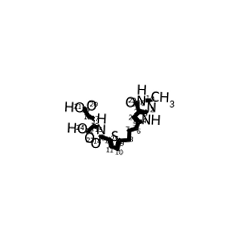 Cc1nc2[nH]c(CCCc3ccc(C(=O)N[C@@H](CCC(=O)O)C(=O)O)s3)cc2c(=O)[nH]1